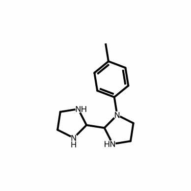 Cc1ccc(N2CCNC2C2NCCN2)cc1